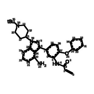 C=CC(=O)Nc1cc(-c2nn(C3CCN(C(C)(C)C)CC3)c3ncnc(N)c23)ccc1Oc1ccccc1